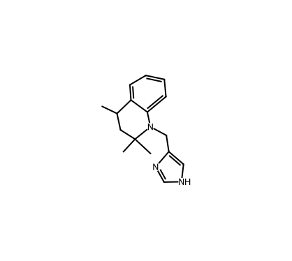 CC1CC(C)(C)N(Cc2c[nH]cn2)c2ccccc21